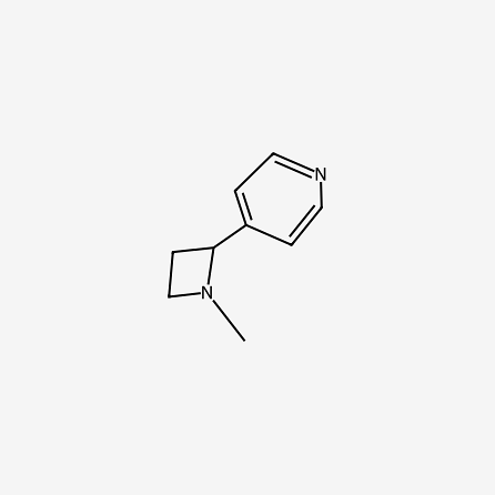 CN1CCC1c1ccncc1